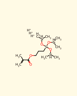 C=C(C)C(=O)OCCC[Si](O[SiH](C)C)(O[SiH](C)C)O[SiH](C)C.[H+].[H+].[H+]